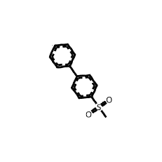 CS(=O)(=O)c1ccc(-c2cc[c]cc2)cc1